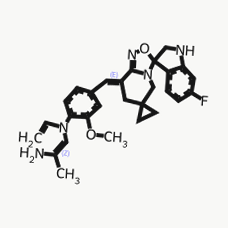 C=CN(/C=C(/C)N)c1ccc(/C=C2\CC3(CC3)CN3C2=NOC32CNc3cc(F)ccc32)cc1OC